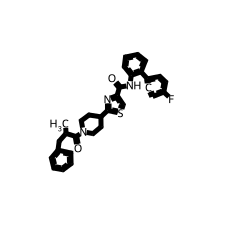 CC(Cc1ccccc1)C(=O)N1CCC(c2nc(C(=O)Nc3ccccc3-c3ccc(F)cc3)cs2)CC1